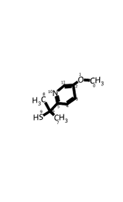 COc1ccc(C(C)(C)S)nc1